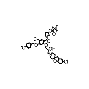 COc1ccc(COc2cc(OC[C@H](O)CN3CCC4(CC3)Cc3cc(Cl)ccc3O4)c(C(=O)N3CC[C@H](OC(=O)C(F)(F)F)C3)cc2Cl)cc1